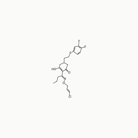 CCCC(=NOCC=CCl)C1=C(O)CC(CCSc2ccc(F)c(F)c2)CC1=O